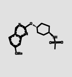 COc1ccc2cnc(O[C@H]3CC[C@H](NS(C)(=O)=O)CC3)nc2c1